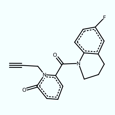 C#CCn1c(C(=O)N2CCCc3cc(F)ccc32)cccc1=O